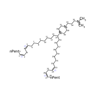 CCCCC/C=C\C/C=C\CCCCCCCCC(CCCCCCCC/C=C\C/C=C\CCCCC)N1CCN(CCCN(C)C)CC1